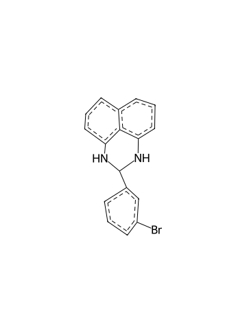 Brc1cccc(C2Nc3cccc4cccc(c34)N2)c1